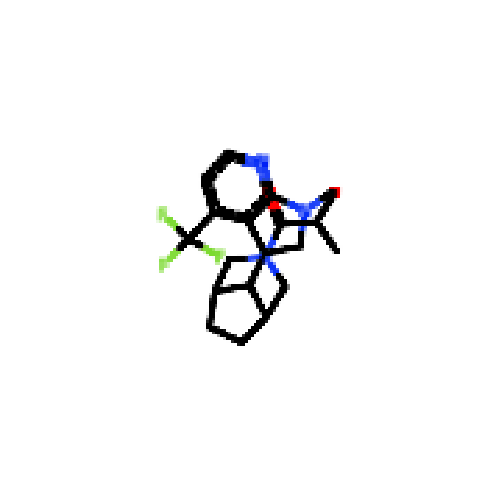 CC(C)C(=O)N1CC2CCC(C1)C2C1CN(C)c2nccc(C(F)(F)F)c21